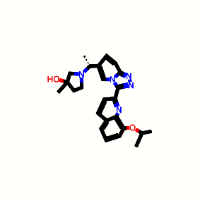 CC(C)Oc1cccc2ccc(-c3nnc4ccc([C@@H](C)N5CCC(C)(O)C5)cn34)nc12